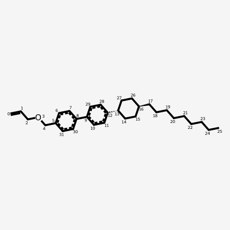 C=CCOCc1ccc(-c2ccc([C@H]3CC[C@H](CCCCCCCCC)CC3)cc2)cc1